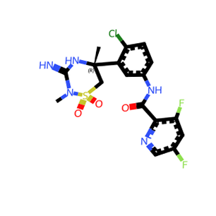 CN1C(=N)N[C@](C)(c2cc(NC(=O)c3ncc(F)cc3F)ccc2Cl)CS1(=O)=O